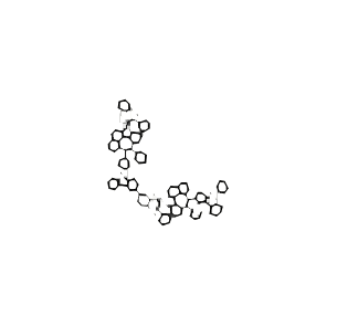 C1=CC2N=C(c3ccccc3)C(n3c4cccc5c4c4c6c(cccc6ccc43)C(c3ccc4c(c3)c3ccccc3n4-c3ccccc3)=C5c3ccccc3)=NC2C=C1c1ccc2c(c1)c1ccccc1n2-c1ccc(C2=C(c3ccccc3)c3cccc4c3c3c5c2cccc5ccc3n4-c2nc3ccccc3nc2-c2ccccc2)cc1